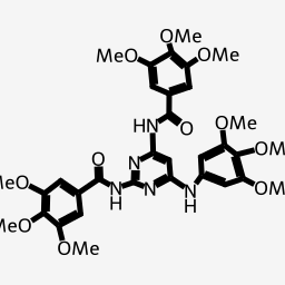 COc1cc(Nc2cc(NC(=O)c3cc(OC)c(OC)c(OC)c3)nc(NC(=O)c3cc(OC)c(OC)c(OC)c3)n2)cc(OC)c1OC